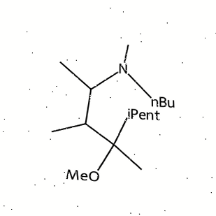 CCCCN(C)C(C)C(C)C(C)(OC)C(C)CCC